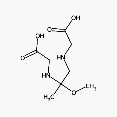 COC(C)(CNCC(=O)O)NCC(=O)O